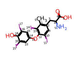 Cc1c(CC(N)C(=O)O)cc(I)c(Oc2cc(I)c(O)c(I)c2)c1I